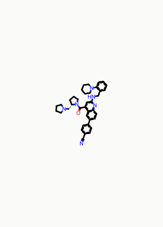 N#Cc1ccc(-c2ccc3nc(NCc4ccccc4N4CCCCC4)cc(C(=O)N4CCC[C@H]4CN4CCCC4)c3c2)cc1